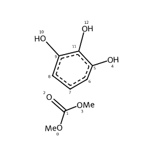 COC(=O)OC.Oc1cccc(O)c1O